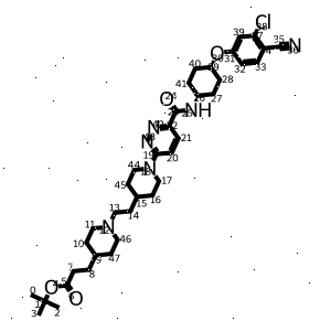 CC(C)(C)OC(=O)CCC1CCN(CCC2CCN(c3ccc(C(=O)N[C@H]4CC[C@H](Oc5ccc(C#N)c(Cl)c5)CC4)nn3)CC2)CC1